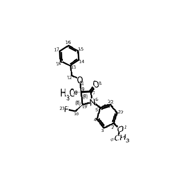 COc1ccc(N2C(=O)[C@](C)(OCc3ccccc3)[C@@H]2CF)cc1